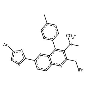 CC(=O)c1csc(-c2ccc3nc(CC(C)C)c(N(C)C(=O)O)c(-c4ccc(C)cc4)c3c2)n1